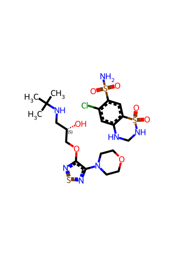 CC(C)(C)NC[C@H](O)COc1nsnc1N1CCOCC1.NS(=O)(=O)c1cc2c(cc1Cl)NCNS2(=O)=O